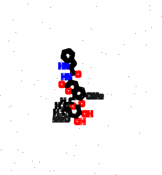 COc1cc2cc(NC(=O)c3cc4ccccc4[nH]3)c(=O)oc2c(C)c1O[C@@H]1OC(C)(C)C(OC)C(O)C1O